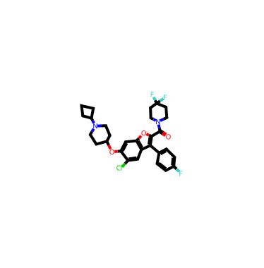 O=C(c1oc2cc(OC3CCN(C4CCC4)CC3)c(Cl)cc2c1-c1ccc(F)cc1)N1CCC(F)(F)CC1